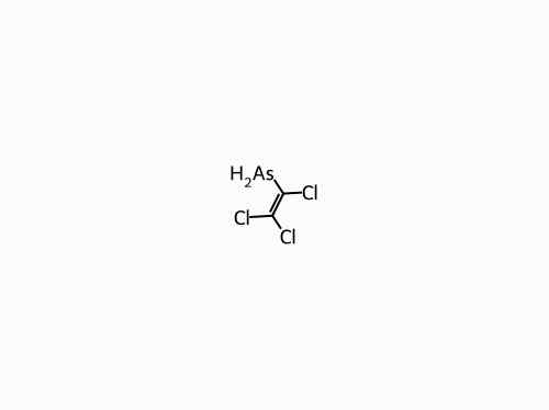 ClC(Cl)=C(Cl)[AsH2]